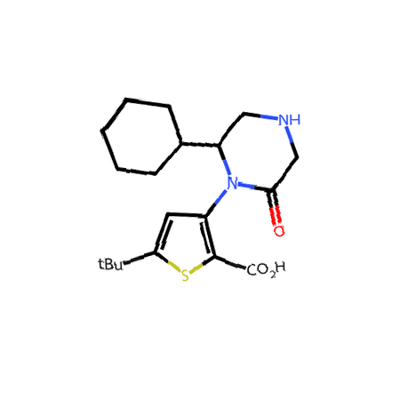 CC(C)(C)c1cc(N2C(=O)CNCC2C2CCCCC2)c(C(=O)O)s1